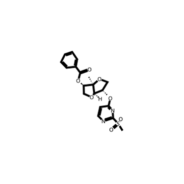 C[C@]12OC[C@H](Oc3ccnc(S(C)(=O)=O)n3)[C@H]1OC[C@@H]2OC(=O)c1ccccc1